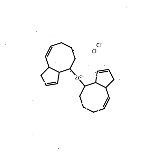 C1=CC2C(/C=C\CCC[CH]2[Zr+2][CH]2CCC/C=C\C3CC=CC32)C1.[Cl-].[Cl-]